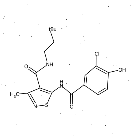 Cc1nsc(NC(=O)c2ccc(O)c(Cl)c2)c1C(=O)NCCC(C)(C)C